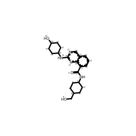 O=C(NC1CCC(CO)CC1)c1cccc2cnc(NC3CCC(O)CC3)nc12